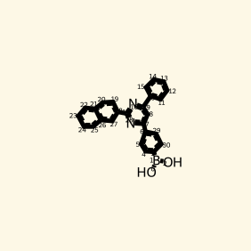 OB(O)c1ccc(-c2cc(-c3ccccc3)nc(-c3ccc4ccccc4c3)n2)cc1